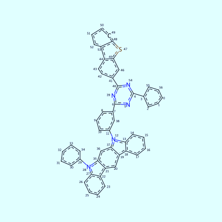 c1ccc(-c2nc(-c3cccc(-n4c5ccccc5c5cc6c7ccccc7n(-c7ccccc7)c6cc54)c3)nc(-c3ccc4c(c3)sc3ccccc34)n2)cc1